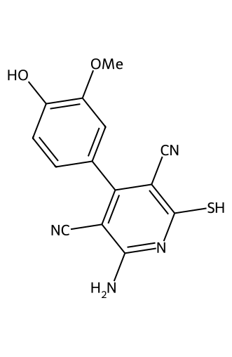 COc1cc(-c2c(C#N)c(N)nc(S)c2C#N)ccc1O